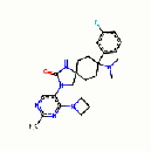 CN(C)C1(c2cccc(F)c2)CCC2(CC1)CN(c1cnc(C(F)(F)F)nc1N1CCC1)C(=O)N2